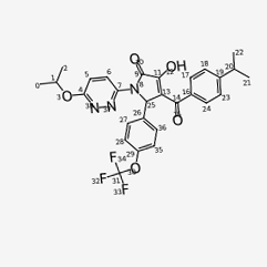 CC(C)Oc1ccc(N2C(=O)C(O)=C(C(=O)c3ccc(C(C)C)cc3)C2c2ccc(OC(F)(F)F)cc2)nn1